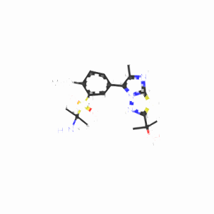 COc1ccc(-c2c(C)nc3sc(C(C)(C)O)nn23)cc1S(=O)(=O)C(C)(C)N